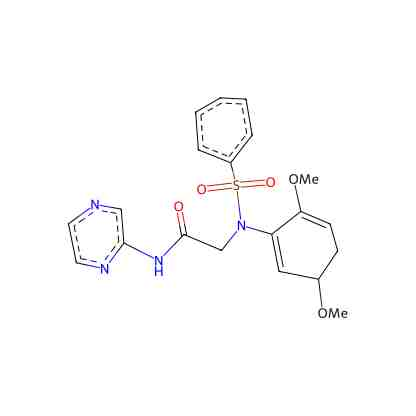 COC1=CCC(OC)C=C1N(CC(=O)Nc1cnccn1)S(=O)(=O)c1ccccc1